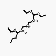 CCOC(OCC)[SiH2]CNC[SiH2]C(OCC)OCC